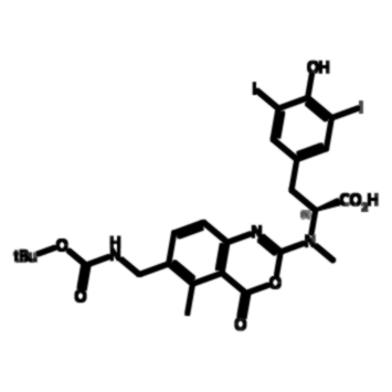 Cc1c(CNC(=O)OC(C)(C)C)ccc2nc(N(C)[C@@H](Cc3cc(I)c(O)c(I)c3)C(=O)O)oc(=O)c12